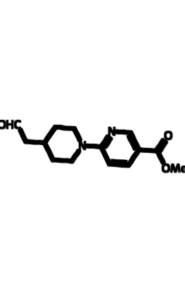 COC(=O)c1ccc(N2CCC(CC=O)CC2)nc1